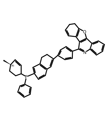 C[C@H]1C=CC(P(c2ccccc2)c2ccc3c(c2)CCC(c2ccc(-c4nc5ccccc5c5oc6c(c45)C=CCC6)cc2)=C3)CC1